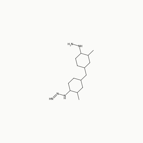 CC1CC(CC2CCC(NN=N)C(C)C2)CCC1NN